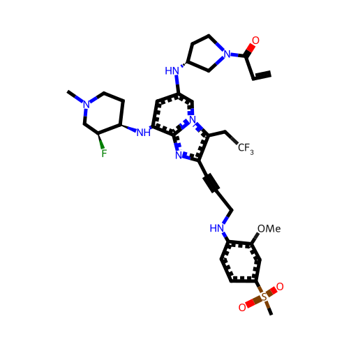 C=CC(=O)N1CC[C@@H](Nc2cc(N[C@@H]3CCN(C)C[C@@H]3F)c3nc(C#CCNc4ccc(S(C)(=O)=O)cc4OC)c(CC(F)(F)F)n3c2)C1